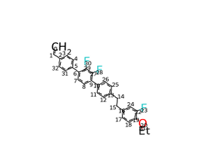 C=Cc1ccc(-c2ccc(-c3ccc(CCc4ccc(OCC)c(F)c4)cc3)c(F)c2F)cc1